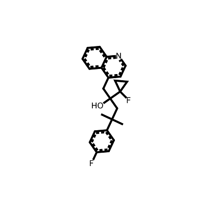 CC(C)(CC(O)(Cc1ccnc2ccccc12)C1(F)CC1)c1ccc(F)cc1